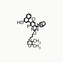 CC1OCCN(CCCOc2nc(N3CC4CCC(C3)N4)c3cc(Cl)c(-c4cc(O)cc5ccccc45)c(F)c3n2)C1C